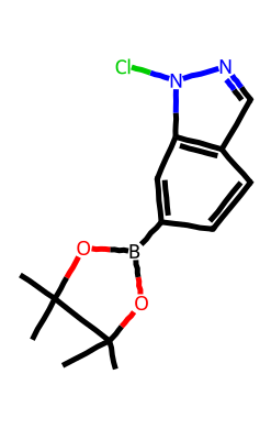 CC1(C)OB(c2ccc3cnn(Cl)c3c2)OC1(C)C